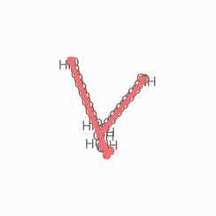 CC(C)(C)OC(=O)NCCOCCOCCOCCOCCOCCOCCOCCOCCOCCOCCOCCOCCC(=O)NCCCC[C@H](NC(=O)CCOCCOCCOCCOCCOCCOCCOCCOCCOCCOCCOCCOCCNC(=O)OC(C)(C)C)C(=O)NCCCC[C@H](NC(=O)OCC1c2ccccc2-c2ccccc21)C(=O)O